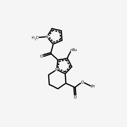 CCCCc1cc2n(c1C(=O)c1cccn1C)CCCC2C(=O)OC(C)C